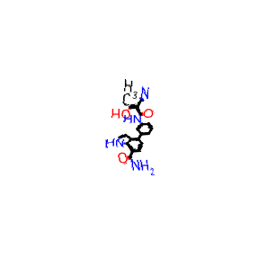 CC(O)=C(C#N)C(=O)Nc1cccc(-c2ccc(C(N)=O)c3[nH]ccc23)c1